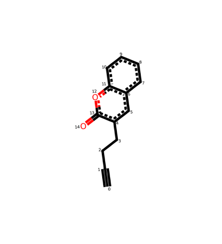 C#CCCc1cc2ccccc2oc1=O